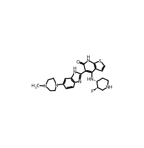 CN1CCN(c2ccc3nc(-c4c(N[C@@H]5CCNC[C@H]5F)c5ccsc5[nH]c4=O)[nH]c3c2)CC1